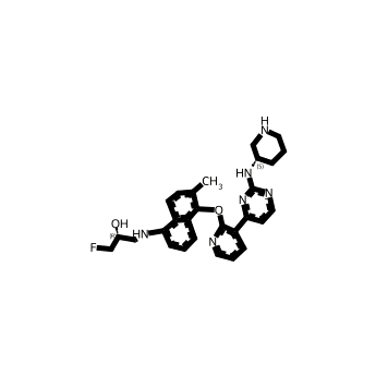 Cc1ccc2c(NC[C@@H](O)CF)cccc2c1Oc1ncccc1-c1ccnc(N[C@H]2CCCNC2)n1